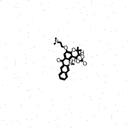 CN(C)CCOc1cc2c(=O)c3cc4ccccc4cc3n(C)c2c2c1OC(C)(C)[C@H]1OC(=O)O[C@@H]21